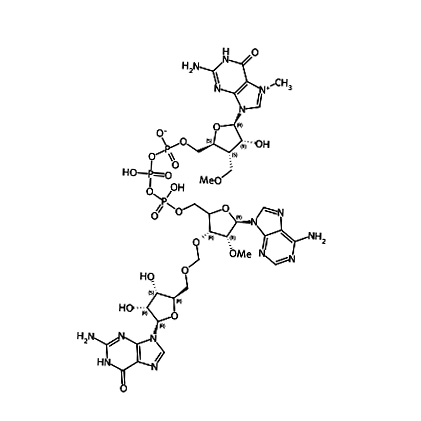 COC[C@H]1[C@@H](O)[C@H](n2c[n+](C)c3c(=O)[nH]c(N)nc32)O[C@@H]1COP(=O)([O-])OP(=O)(O)OP(=O)(O)OCC1O[C@@H](n2cnc3c(N)ncnc32)[C@H](OC)[C@@H]1OCOC[C@H]1O[C@@H](n2cnc3c(=O)[nH]c(N)nc32)[C@H](O)[C@@H]1O